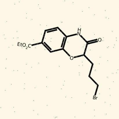 CCOC(=O)c1ccc2c(c1)OC(CCCBr)C(=O)N2